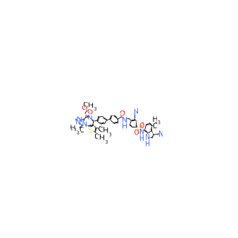 COC(=O)C[C@@H]1N=C(c2ccc(-c3ccc(C(=O)NCc4ccc(S(=O)(=O)Nc5ccc(C)c6c(C#N)c[nH]c56)cc4C#N)cc3)cc2)c2c(sc(C)c2C)-n2c(C)nnc21